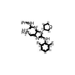 C=C(/N=C1\C(=C/N)N=C(Nc2c(F)cccc2F)N1[C@@H]1CCOC1)NC(C)C